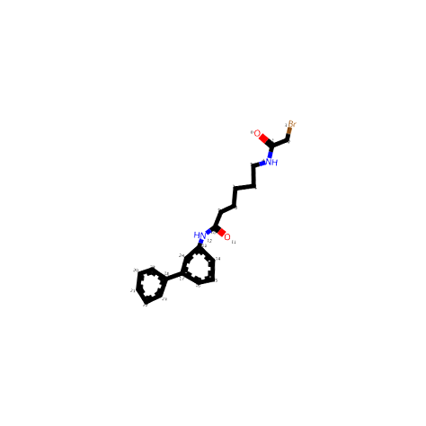 O=C(CBr)NCCCCCC(=O)Nc1cccc(-c2ccccc2)c1